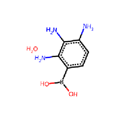 Nc1ccc(B(O)O)c(N)c1N.O